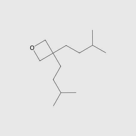 CC(C)CCC1(CCC(C)C)COC1